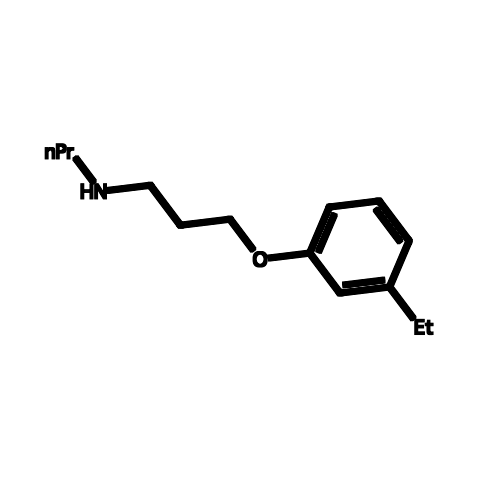 CCCNCCCOc1cccc(CC)c1